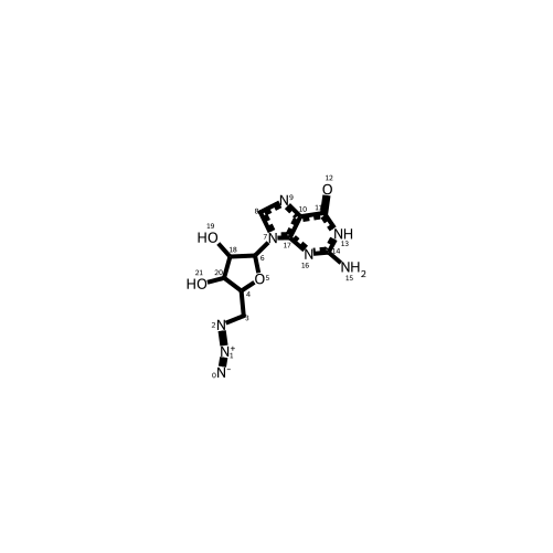 [N-]=[N+]=NCC1OC(n2cnc3c(=O)[nH]c(N)nc32)C(O)C1O